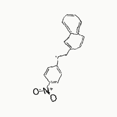 O=[N+]([O-])c1ccc([CH]Cc2ccc3ccccc3c2)cc1